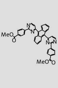 COC(=O)c1ccc(-c2nccc(-c3c4ccccc4c(-c4ccnc(-c5ccc(C(=O)OC)cc5)n4)c4ccccc34)n2)cc1